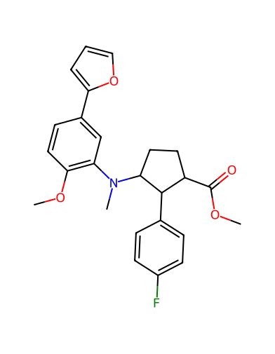 COC(=O)C1CCC(N(C)c2cc(-c3ccco3)ccc2OC)C1c1ccc(F)cc1